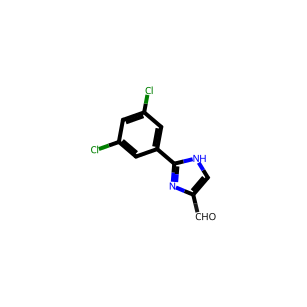 O=Cc1c[nH]c(-c2cc(Cl)cc(Cl)c2)n1